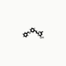 Cc1cc(O)nc(C=Cc2cccc(OCc3ccccc3)c2)n1